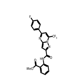 COC(=O)c1ccccc1NC(=O)c1cc2nc(-c3ccc(F)cc3)cc(C(F)(F)F)n2n1